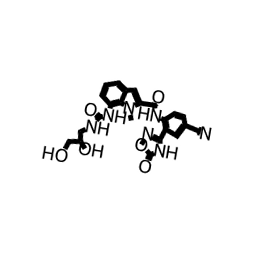 Cn1c(C(=O)Nc2ccc(C#N)cc2-c2noc(=O)[nH]2)cc2cccc(NC(=O)NCC(O)CO)c21